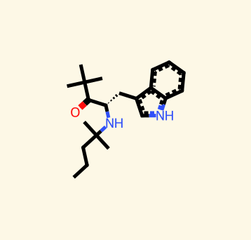 CCCC(C)(C)N[C@@H](Cc1c[nH]c2ccccc12)C(=O)C(C)(C)C